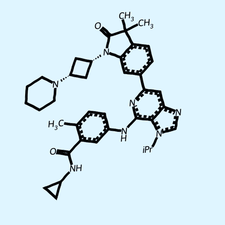 Cc1ccc(Nc2nc(-c3ccc4c(c3)N([C@H]3C[C@@H](N5CCCCC5)C3)C(=O)C4(C)C)cc3ncn(C(C)C)c23)cc1C(=O)NC1CC1